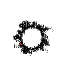 C#C[C@H]1C(=O)N[C@@H](CC(N)=O)C(=O)N2CCCC2C(=O)N[C@@H](Cc2c[nH]cn2)C(=O)N[C@@H](CCC(N)=O)C(=O)N2C[C@H](O)C[C@H]2C(=O)N[C@@H](Cc2c[nH]c3ccccc23)C(=O)N[C@@H](CO)C(=O)N[C@@H](Cc2cn(CC(=O)O)c3ccccc23)C(=O)N(C)[C@@H](CCCC)C(=O)N(C)[C@@H](CCCC)C(=O)N[C@@H](CO)C(=O)N[C@H](C(=O)NCC(N)=O)CSCC(=O)NC(Cc2ccc(OC)cc2)C(=O)N1C